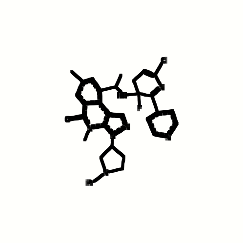 Cc1cc(C(C)NC2(F)CC=C(Cl)N=C2c2ccncc2)c2c(c1)c(=O)n(C)c1c2cnn1C1CCN(C(C)C)C1